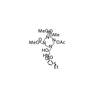 CCSc1cccc(S(=O)(=O)NCC(O)CN2CCN(COC(C)=O)CCN(CP(=O)(OC)OC)CCN(CC(=O)OC)CC2)c1